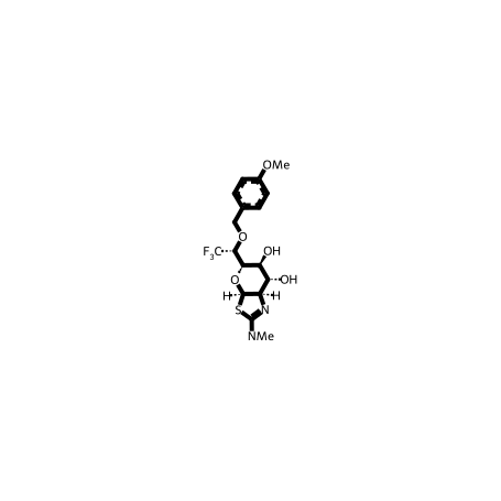 CNC1=N[C@@H]2[C@@H](O)[C@H](O)[C@@H]([C@@H](OCc3ccc(OC)cc3)C(F)(F)F)O[C@@H]2S1